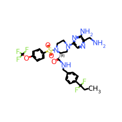 CCC(F)(F)c1ccc(CNC(=O)[C@H]2CN(c3cnc(CN)c(N)n3)CCN2S(=O)(=O)c2ccc(OC(F)(F)F)cc2)cc1